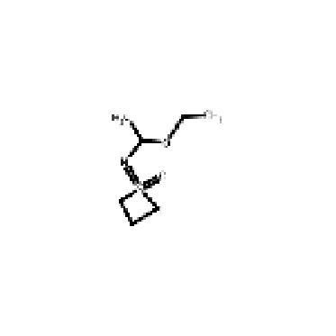 CCOC(C)N=S1(=O)CCC1